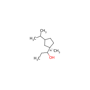 CCC(O)[C@]1(C)CCC(C(C)C)C1